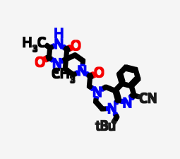 CC1NC(=O)C2(CCN(C(=O)CN3CCN(CC(C)(C)C)c4nc(C#N)c5ccccc5c4C3)CC2)N(C)C1=O